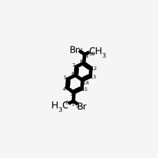 CC(Br)c1ccc2cc(C(C)Br)ccc2c1